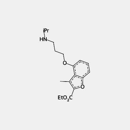 CCOC(=O)c1oc2cccc(OCCCNC(C)C)c2c1C